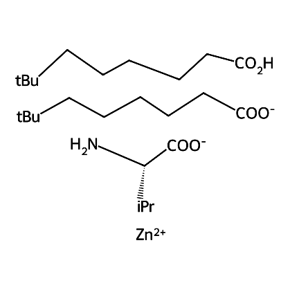 CC(C)(C)CCCCCC(=O)O.CC(C)(C)CCCCCC(=O)[O-].CC(C)[C@H](N)C(=O)[O-].[Zn+2]